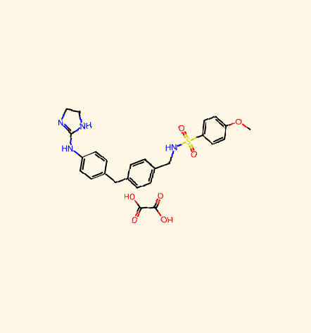 COc1ccc(S(=O)(=O)NCc2ccc(Cc3ccc(NC4=NCCN4)cc3)cc2)cc1.O=C(O)C(=O)O